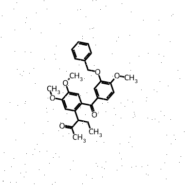 CCC(C(C)=O)c1cc(OC)c(OC)cc1C(=O)c1ccc(OC)c(OCc2ccccc2)c1